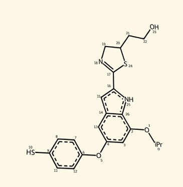 CC(C)Oc1cc(Oc2ccc(S)cc2)cc2cc(C3=NCC(CCO)S3)[nH]c12